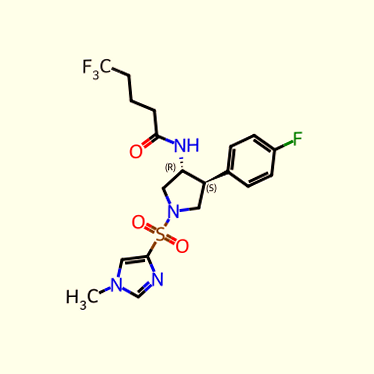 Cn1cnc(S(=O)(=O)N2C[C@H](NC(=O)CCCC(F)(F)F)[C@@H](c3ccc(F)cc3)C2)c1